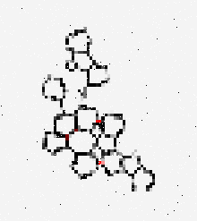 c1ccc(-c2ccccc2N(c2ccc3c(c2)-c2ccccc2-c2ccccc2C32c3ccccc3-c3c2ccc2c3sc3ccccc32)c2cccc3c2oc2ccccc23)cc1